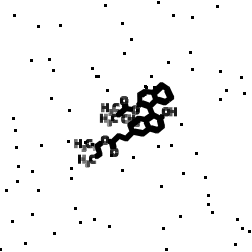 CC[C@H](C)OC(=O)CCc1ccc2c(-c3c(OC(=O)C(C)(C)C)ccc4ccccc34)c(O)ccc2c1